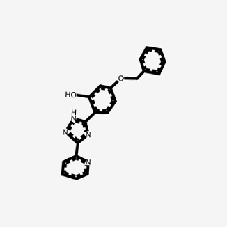 Oc1cc(OCc2ccccc2)ccc1-c1nc(-c2ccccn2)n[nH]1